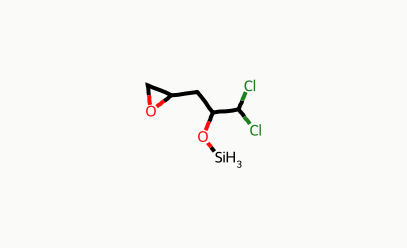 [SiH3]OC(CC1CO1)C(Cl)Cl